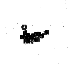 CC(NC(=O)OCc1ccccc1)C(=O)NC(C)C(=O)NC(CC(=O)OCC[Si](C)(C)C)C(=O)O